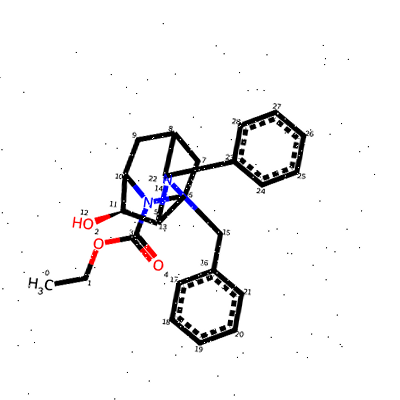 CCOC(=O)N1C2CC3CC1[C@H](O)C2N(Cc1ccccc1)C3c1ccccc1